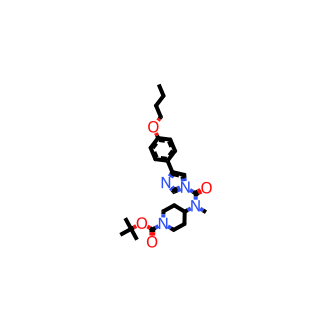 CCCCOc1ccc(-c2cn(C(=O)N(C)C3CCN(C(=O)OC(C)(C)C)CC3)cn2)cc1